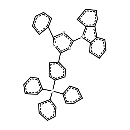 c1ccc(-c2nc(-c3ccc(S(c4ccccc4)(c4ccccc4)c4ccccc4)cc3)nc(-n3c4ccccc4c4ccccc43)n2)cc1